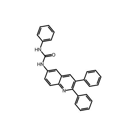 O=C(Nc1ccccc1)Nc1ccc2nc(-c3ccccc3)c(-c3ccccc3)cc2c1